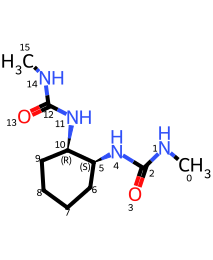 CNC(=O)N[C@H]1CCCC[C@H]1NC(=O)NC